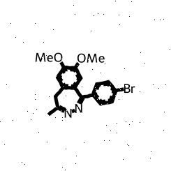 COc1cc2c(cc1OC)C(c1ccc(Br)cc1)=NN=C(C)C2